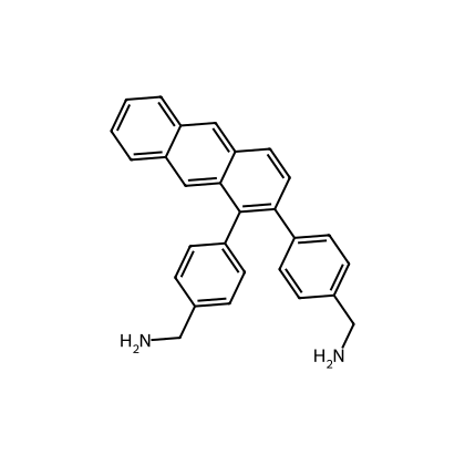 NCc1ccc(-c2ccc3cc4ccccc4cc3c2-c2ccc(CN)cc2)cc1